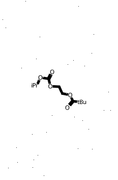 CC(C)OC(=O)OCCOC(=O)C(C)(C)C